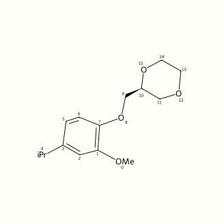 COc1cc(C(C)C)ccc1OC[C@@H]1COCCO1